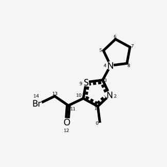 Cc1nc(N2CCCC2)sc1C(=O)CBr